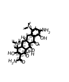 CN(C)c1cc(N)c(O)c2c1C[C@H]1C[C@H]3C(C)(N(C)C)C(O)=C(C(N)=O)C(=O)[C@@]3(O)C(O)=C1C2=O